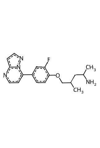 CC(N)CC(C)COc1ccc(-c2ccnc3ccnn23)cc1F